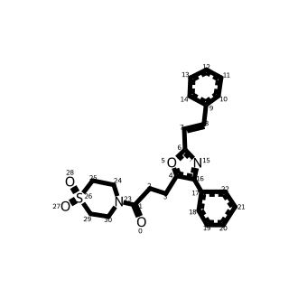 O=C(CCc1oc(/C=C/c2ccccc2)nc1-c1ccccc1)N1CCS(=O)(=O)CC1